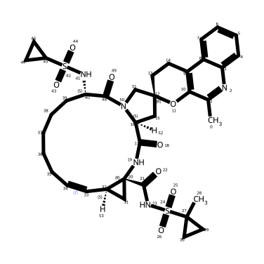 Cc1nc2ccccc2c2c1O[C@]1(CC2)C[C@H]2C(=O)N[C@]3(C(=O)NS(=O)(=O)C4(C)CC4)C[C@H]3/C=C\CCCCC[C@H](NS(=O)(=O)C3CC3)C(=O)N2C1